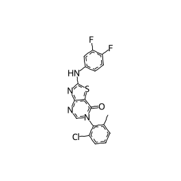 Cc1cccc(Cl)c1-n1cnc2nc(Nc3ccc(F)c(F)c3)sc2c1=O